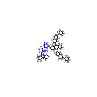 C1=CC(n2c3ccccc3c3cccnc32)NC(c2cncc(-c3ccc4c(-c5ccc6ccc(-c7ccccc7)cc6c5)c5ccccc5c(-c5ccc6ccc(-c7ccccc7)cc6c5)c4c3)c2)=C1